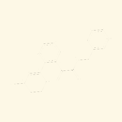 C=C(C(=O)OCc1ccccc1)c1ccccc1C1=CC(Cl)CCC1